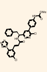 COC(=O)Nc1ccc(-c2cc([C@H](Cc3ccccc3)NC(=O)/C=C/c3cc(Cl)ccc3-n3cnnn3)nnc2Cl)cc1